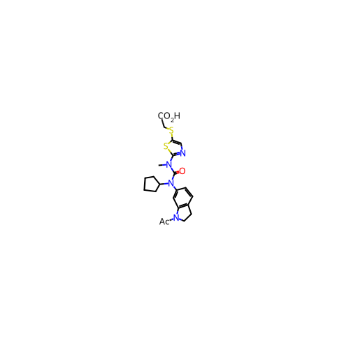 CC(=O)N1CCc2ccc(N(C(=O)N(C)c3ncc(SCC(=O)O)s3)C3CCCC3)cc21